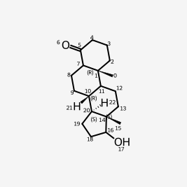 C[C@]12CCCC(=O)C1CC[C@@H]1C2CC[C@]2(C)C(O)CC[C@@H]12